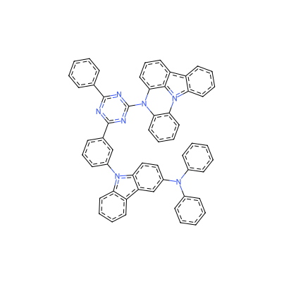 c1ccc(-c2nc(-c3cccc(-n4c5ccccc5c5cc(N(c6ccccc6)c6ccccc6)ccc54)c3)nc(N3c4ccccc4-n4c5ccccc5c5cccc3c54)n2)cc1